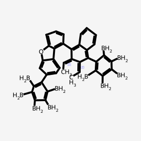 Bc1c(B)c(B)c(-c2ccc3c(c2)oc2cccc(-c4c(=C/C)/c(=C\C)c(-c5c(B)c(B)c(B)c(B)c5B)c5ccccc45)c23)c(B)c1B